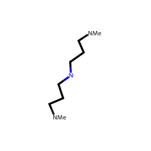 CNCCC[N]CCCNC